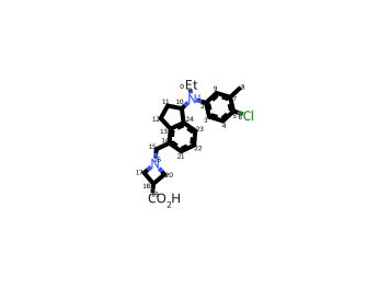 CCN(c1ccc(Cl)c(C)c1)C1CCc2c(CN3CC(C(=O)O)C3)cccc21